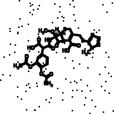 CO[C@@]1(NC(=O)C(C(=O)O)c2ccc(OC(N)=O)c(OC(N)=O)c2)C(=O)N2C(C(=O)O)=C(CSc3nnnn3C)CS[C@@H]21